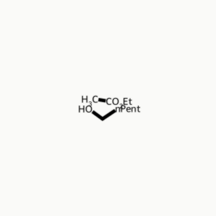 CCCCCCO.CCOC(C)=O